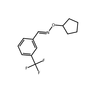 FC(F)(F)c1cccc(/[C]=N/OC2CCCC2)c1